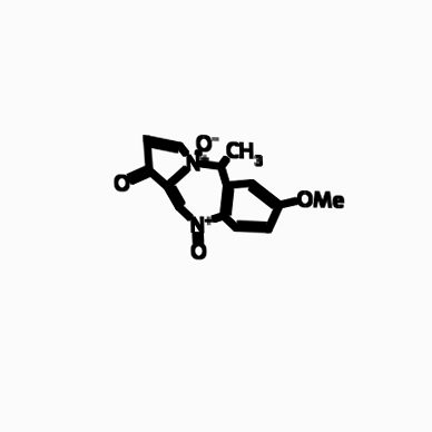 COc1ccc2c(c1)C(C)[N+]1([O-])C=CC(=O)C1=C[N+]2=O